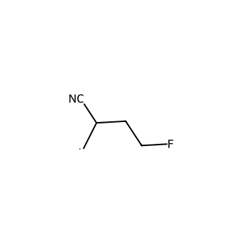 [CH2]C(C#N)CCF